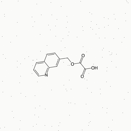 O=C(O)C(=O)OCc1ccc2cccnc2c1